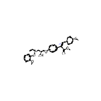 CCN(CC(O)COc1ccc(/C(=C/c2ccc(SC)cc2)C(=O)OC)cc1)Oc1ccccc1OC